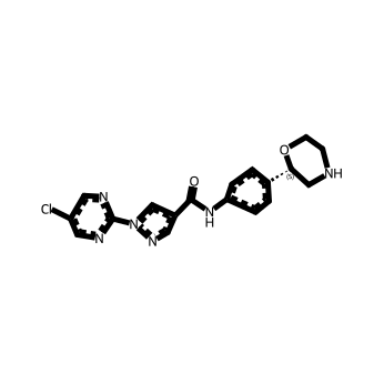 O=C(Nc1ccc([C@H]2CNCCO2)cc1)c1cnn(-c2ncc(Cl)cn2)c1